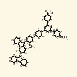 Cc1ccc(-c2cc(-c3ccc(-c4ccc(-n5c6ccccc6c6cc(-n7c8ccccc8c8ccccc87)ccc65)c(C)c4)cc3)nc(-c3ccc(C)cc3)n2)cc1